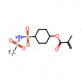 C=C(C)C(=O)OC1CCC(S(=O)(=O)NS(=O)(=O)C(F)(F)F)CC1